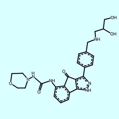 O=C(Nc1cccc2c1C(=O)c1c(-c3ccc(CNCC(O)CO)cc3)n[nH]c1-2)NN1CCOCC1